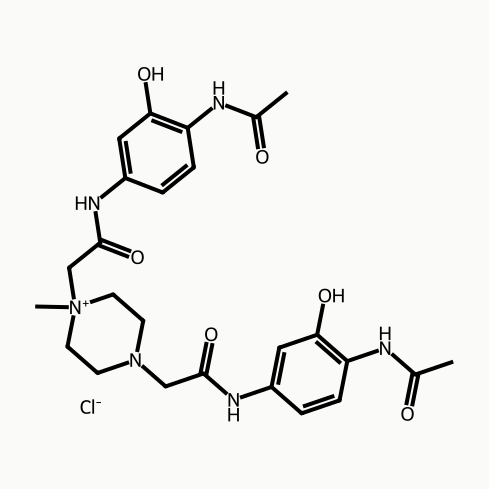 CC(=O)Nc1ccc(NC(=O)CN2CC[N+](C)(CC(=O)Nc3ccc(NC(C)=O)c(O)c3)CC2)cc1O.[Cl-]